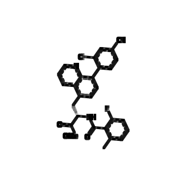 COC(=O)[C@H](Cc1ccc(-c2ccc(C#N)cc2Cl)c2ncccc12)NC(=O)c1c(C)cccc1F